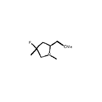 COCC1CC(C)(F)CN1C